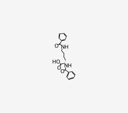 O=C(NCCCC[C@H](NC(=O)c1ccccc1)C(=O)O)c1ccccc1